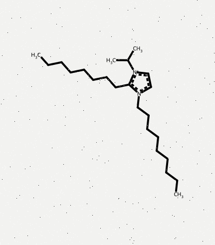 CCCCCCCCCn1cc[n+](C(C)C)c1CCCCCCCC